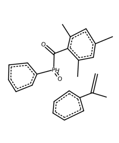 C=C(C)c1ccccc1.Cc1cc(C)c(C(=O)[PH](=O)c2ccccc2)c(C)c1